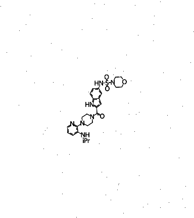 CC(C)Nc1cccnc1N1CCN(C(=O)c2cc3cc(NS(=O)(=O)N4CCOCC4)ccc3[nH]2)CC1